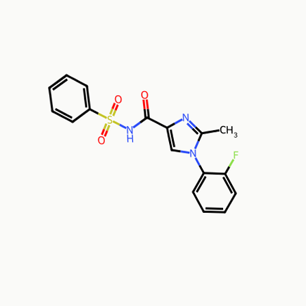 Cc1nc(C(=O)NS(=O)(=O)c2ccccc2)cn1-c1ccccc1F